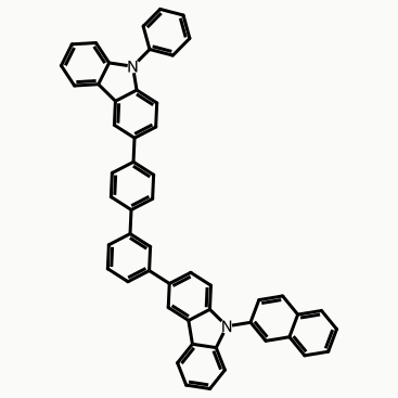 c1ccc(-n2c3ccccc3c3cc(-c4ccc(-c5cccc(-c6ccc7c(c6)c6ccccc6n7-c6ccc7ccccc7c6)c5)cc4)ccc32)cc1